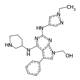 CCn1cc(Nc2nc(NC3CCCNC3)c3c(-c4ccccc4)cn(CO)c3n2)cn1